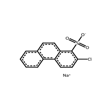 O=S(=O)([O-])c1c(Cl)ccc2c1ccc1ccccc12.[Na+]